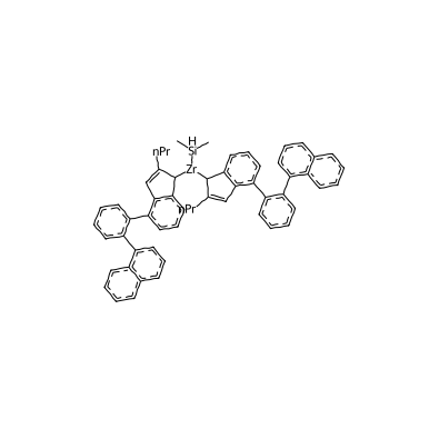 CCCC1=Cc2c(-c3ccccc3-c3cccc4ccccc34)cccc2[CH]1[Zr]([CH]1C(CCC)=Cc2c(-c3ccccc3-c3cccc4ccccc34)cccc21)[SiH](C)C